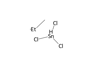 C[CH]C.[Cl][SnH]([Cl])[Cl]